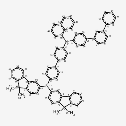 CC1(C)c2ccccc2-c2cc(N(c3ccc(-c4ccc(N(c5ccc(-c6cccc(-c7ccccc7)c6)cc5)c5cccc6ccccc56)cc4)cc3)c3ccc4c(c3)-c3ccccc3C4(C)C)ccc21